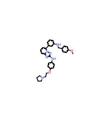 COc1ccc(CNc2cccc(-c3cccc4nc(Nc5ccc(OCCN6CCCC6)cc5)nn34)c2)cc1